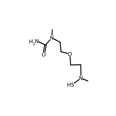 CN(S)CCOCCN(C)C(N)=O